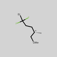 CCC(F)(F)CC[C@H](C)COC